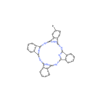 [Ir][c]1ccc2c3nc4nc(nc5[nH]c(nc6nc(nc([nH]3)c2c1)-c1ccccc1-6)c1ccccc51)-c1ccccc1-4